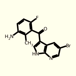 Cc1c(N)ccc(F)c1C(=O)c1c[nH]c2ncc(Br)cc12